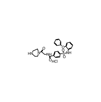 Cl.O=C(NCC(=O)N1CCNCC1)c1ccc(S(=O)(=O)Nc2ccccc2Oc2ccccc2)cc1